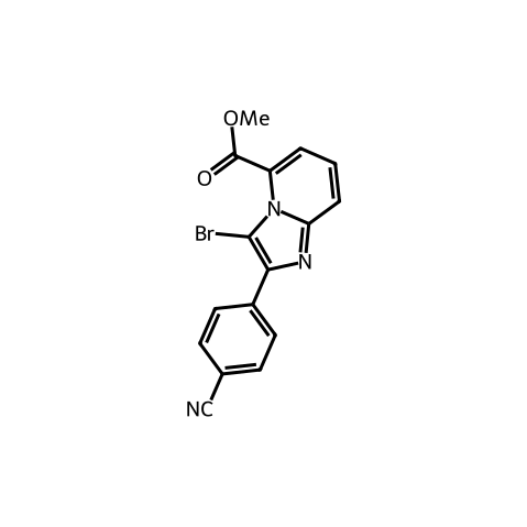 COC(=O)c1cccc2nc(-c3ccc(C#N)cc3)c(Br)n12